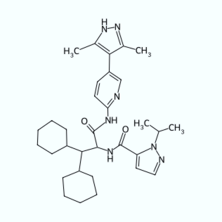 Cc1n[nH]c(C)c1-c1ccc(NC(=O)C(NC(=O)c2ccnn2C(C)C)C(C2CCCCC2)C2CCCCC2)nc1